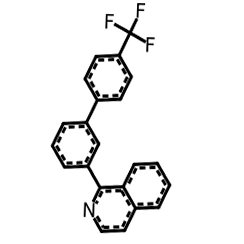 FC(F)(F)c1ccc(-c2cccc(-c3nccc4ccccc34)c2)cc1